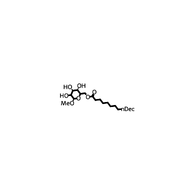 CCCCCCCCCCCCCCCCCC(=O)OCC1O[C@@H](OC)C(O)[C@@H](O)[C@@H]1O